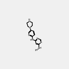 CC(C)Nc1cc(Nc2ccc(N3CCNCC3)cn2)ncn1